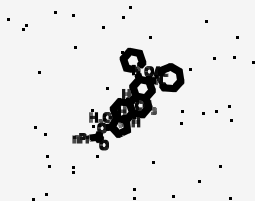 CCCC(=O)OC1CC[C@H]2[C@@H]3CCC4CC(OC(C)=O)(N5CCCCCC5)C(N5CCCCC5)C[C@]4(C)[C@H]3CC[C@]12C